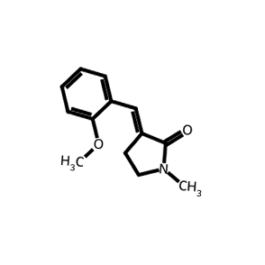 COc1ccccc1C=C1CCN(C)C1=O